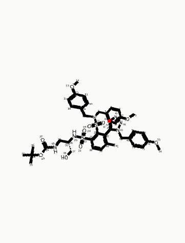 COc1ccc(CN(Cc2ccc(OC)cc2)S(=O)(=O)c2c(S(=O)(=O)N[C@H](CO)CNC(=O)OC(C)(C)C)ccc(I)c2-c2nnnn2Cc2ccc(OC)cc2)cc1